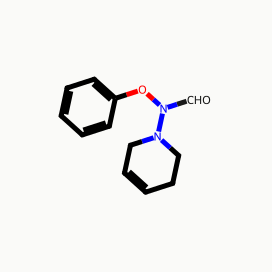 O=CN(Oc1ccccc1)N1CC=CCC1